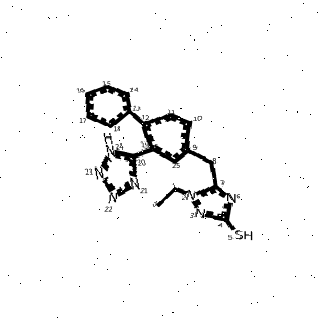 CCn1nc(S)nc1Cc1ccc(-c2ccccc2)c(-c2nnn[nH]2)c1